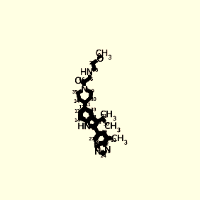 COCCNCC(=O)N1CCC(c2ccc3[nH]c(-c4cc(C)c5ncnn5c4)c(C(C)C)c3c2)CC1